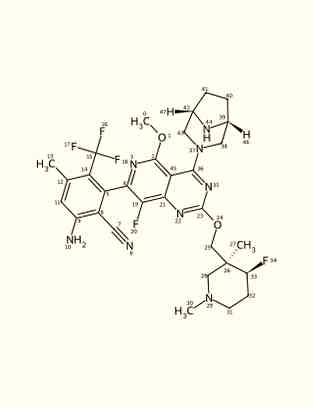 COc1nc(-c2c(C#N)c(N)cc(C)c2C(F)(F)F)c(F)c2nc(OC[C@]3(C)CN(C)CC[C@@H]3F)nc(N3C[C@H]4CC[C@@H](C3)N4)c12